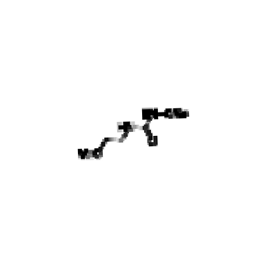 COCCNC(=O)NOC